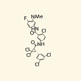 CNc1cc(NC(=O)c2cc(NC(=O)[C@H]3[C@H](c4cc(Cl)cc(Cl)c4)C3(Cl)Cl)ccc2Cl)ccc1F